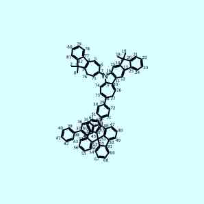 CC1(C)C2=C(C=CC(n3c4c(c5cc6c(cc53)C(C)(C)c3ccccc3-6)=CCC(c3ccc(N(c5ccc(-c6ccccc6)cc5)c5cccc6c5C5(c7ccccc7-c7ccccc75)c5ccccc5-6)cc3)=CC=4)=CC2)c2ccccc21